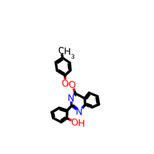 Cc1ccc(OOc2nc(-c3ccccc3O)nc3ccccc23)cc1